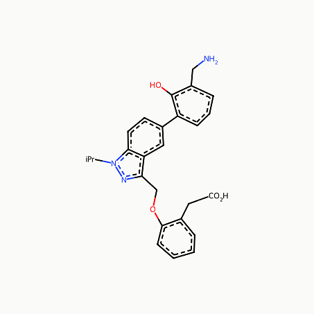 CC(C)n1nc(COc2ccccc2CC(=O)O)c2cc(-c3cccc(CN)c3O)ccc21